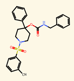 N#Cc1cccc(S(=O)(=O)N2CCC(OC(=O)NCc3ccccc3)(c3ccccc3)CC2)c1